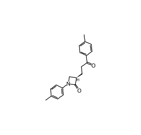 Cc1ccc(C(=O)CC[C@@H]2CN(c3ccc(C)cc3)C2=O)cc1